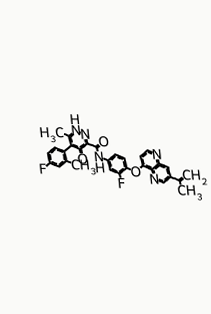 C=C(C)c1cnc2c(Oc3ccc(NC(=O)c4n[nH]c(C)c(-c5ccc(F)cc5C)c4=O)cc3F)ccnc2c1